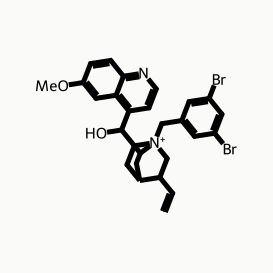 C=CC1C[N+]2(Cc3cc(Br)cc(Br)c3)CCC1CC2C(O)c1ccnc2ccc(OC)cc12